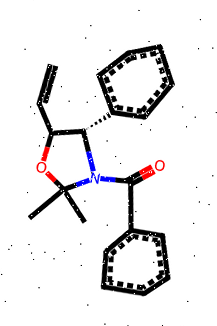 C=CC1OC(C)(C)N(C(=O)c2ccccc2)[C@H]1c1ccccc1